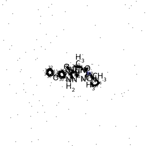 CC(C)(CNC(=O)/C(C#N)=C/C(C)(C)N1CCCCC1)Cn1c(=O)n(-c2ccc(Oc3ccccc3)cc2)c2c(N)ncnc21